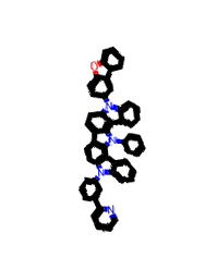 c1ccc(-n2c3c(ccc4c3c3ccccc3n4-c3cccc(-c4ccccn4)c3)c3ccc4c(c5ccccc5n4-c4ccc5oc6ccccc6c5c4)c32)cc1